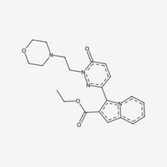 CCOC(=O)c1cc2ccccn2c1-c1ccc(=O)n(CCN2CCOCC2)n1